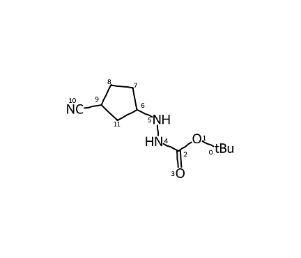 CC(C)(C)OC(=O)NNC1CCC(C#N)C1